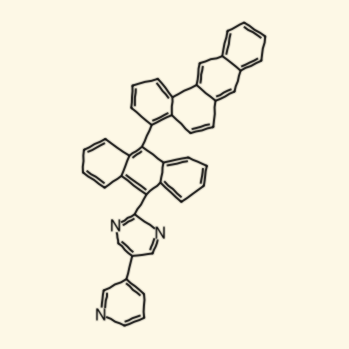 c1cncc(-c2cnc(-c3c4ccccc4c(-c4cccc5c4ccc4cc6ccccc6cc45)c4ccccc34)nc2)c1